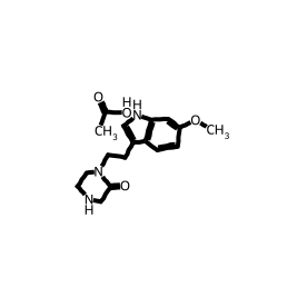 CC(=O)O.COc1ccc2c(CCN3CCNCC3=O)c[nH]c2c1